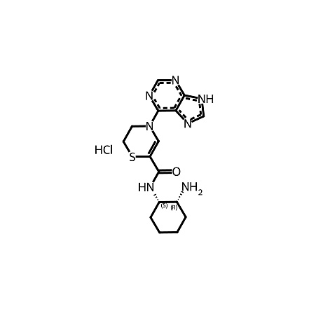 Cl.N[C@@H]1CCCC[C@@H]1NC(=O)C1=CN(c2ncnc3[nH]cnc23)CCS1